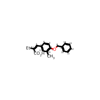 CC/C(=C/c1ccc(OCc2ccccc2)c(C)c1)C(=O)O